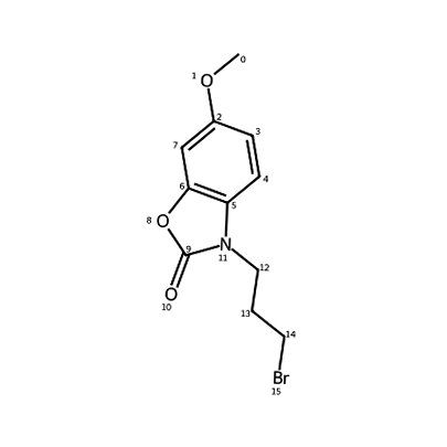 COc1ccc2c(c1)oc(=O)n2CCCBr